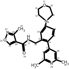 Cc1cc(-c2ccc(N3CCOCC3)cc2CNC(=O)c2conc2C)cc(C)n1